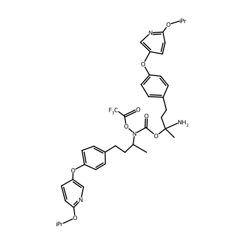 CC(C)Oc1ccc(Oc2ccc(CCC(C)N(OC(=O)C(F)(F)F)C(=O)OC(C)(N)CCc3ccc(Oc4ccc(OC(C)C)nc4)cc3)cc2)cn1